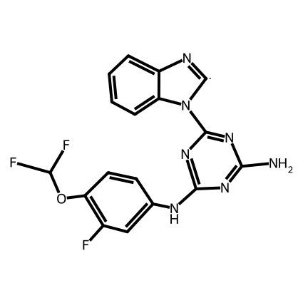 Nc1nc(Nc2ccc(OC(F)F)c(F)c2)nc(-n2[c]nc3ccccc32)n1